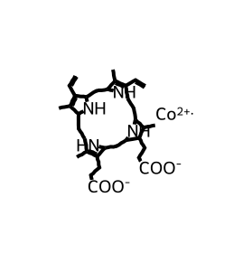 C=CC1=C(C)C2CC3NC(CC4NC(CC5NC(CC1N2)C(C)=C5C=C)C(C)C4CCC(=O)[O-])C(CCC(=O)[O-])=C3C.[Co+2]